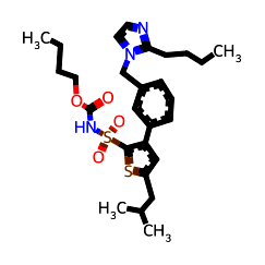 CCCCOC(=O)NS(=O)(=O)c1sc(CC(C)C)cc1-c1cccc(Cn2ccnc2CCCC)c1